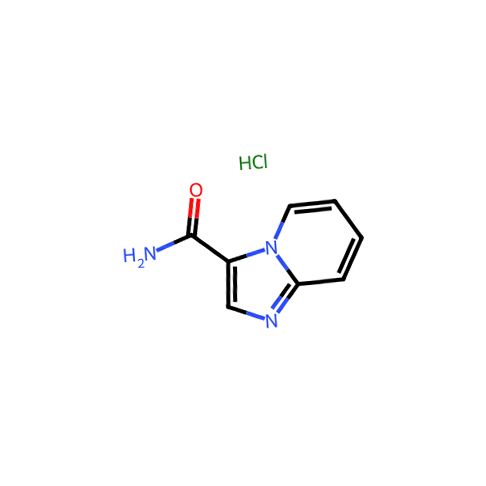 Cl.NC(=O)c1cnc2ccccn12